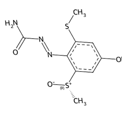 CSc1cc(O)cc([S@+](C)[O-])c1N=NC(N)=O